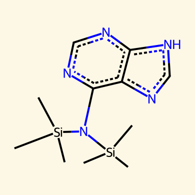 C[Si](C)(C)N(c1ncnc2[nH]cnc12)[Si](C)(C)C